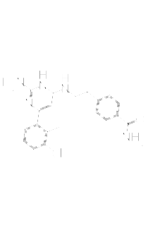 Cc1c(Cl)cccc1C1=CC(NCCc2ccc(C(N)=O)cc2)NC(N)=N1